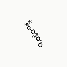 CC(=O)CNC1CCN(c2ccc(NC(=O)c3ccc(OC4C=CCCC4)cc3)cc2)C1